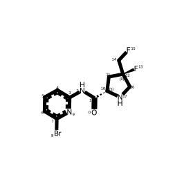 O=C(Nc1cccc(Br)n1)[C@@H]1C[C@](F)(CF)CN1